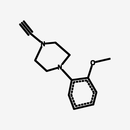 C#CN1CCN(c2ccccc2OC)CC1